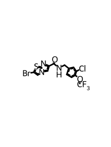 O=C(NCc1ccc(OC(F)(F)F)c(Cl)c1)c1cn2cc(Br)sc2n1